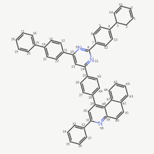 C1=CCC(c2ccc(-c3nc(-c4ccc(-c5ccccc5)cc4)cc(-c4ccc(-c5cc(-c6ccccc6)nc6ccc7ccccc7c56)cc4)n3)cc2)C=C1